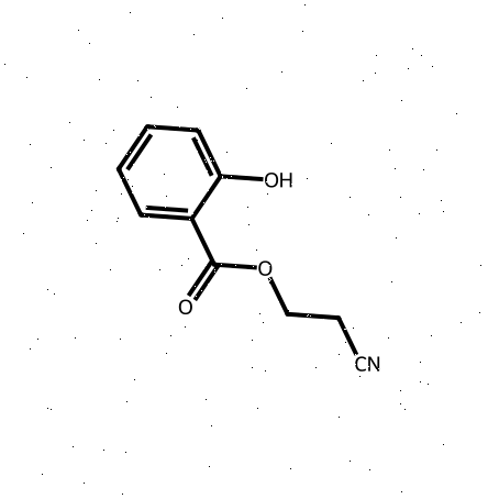 N#CCCOC(=O)c1ccccc1O